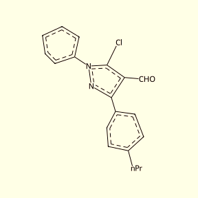 CCCc1ccc(-c2nn(-c3ccccc3)c(Cl)c2C=O)cc1